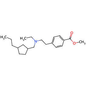 CCCC1CCC(CN(CC)CCc2ccc(C(=O)OC)cc2)C1